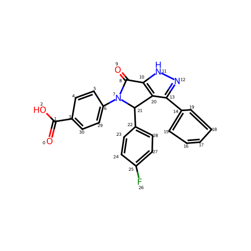 O=C(O)c1ccc(N2C(=O)c3[nH]nc(-c4ccccc4)c3C2c2ccc(F)cc2)cc1